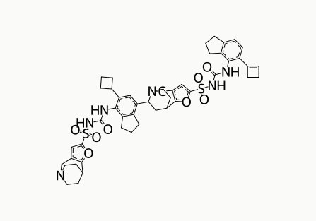 O=C(Nc1c(C2=CCC2)ccc2c1CCC2)NS(=O)(=O)c1cc2c(o1)C1CCN(C2)C(c2cc(C3CCC3)c(NC(=O)NS(=O)(=O)c3cc4c(o3)C3CCN(CC3)C4)c3c2CCC3)C1